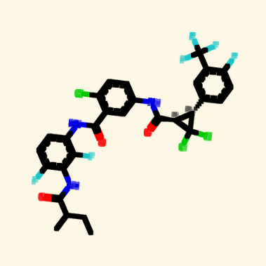 CCC(C)C(=O)Nc1c(F)ccc(NC(=O)c2cc(NC(=O)[C@H]3[C@H](c4ccc(F)c(C(F)(F)F)c4)C3(Cl)Cl)ccc2Cl)c1F